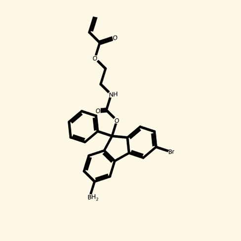 Bc1ccc2c(c1)-c1cc(Br)ccc1C2(OC(=O)NCCOC(=O)C=C)c1ccccc1